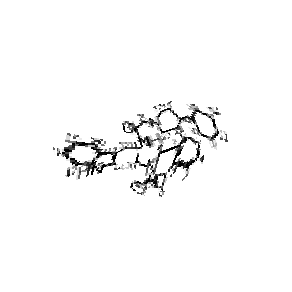 COc1ccccc1CN(C[C@@H](Cc1c[nH]c2ccccc12)NC(=O)CN1CCC(C2CCCCC2)CC1)C(C)=O